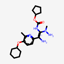 Cc1nc(/C(N)=C(\NC(=O)OC2CCCC2)N(C)N)ccc1OC1CCCCC1